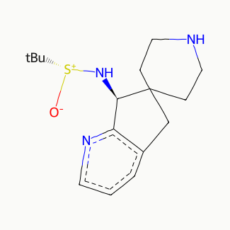 CC(C)(C)[S@@+]([O-])N[C@@H]1c2ncccc2CC12CCNCC2